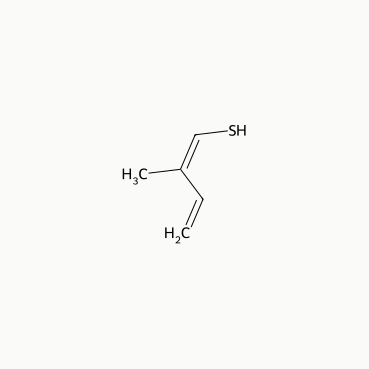 C=C/C(C)=C\S